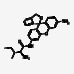 CCC(C)[C@H](N)C(=O)Nc1ccc2c(c1)Oc1cc(N)ccc1C21OCc2ccccc21